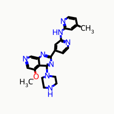 COc1cncc2nc(-c3ccnc(Nc4cc(C)ccn4)c3)nc(N3CCNCC3)c12